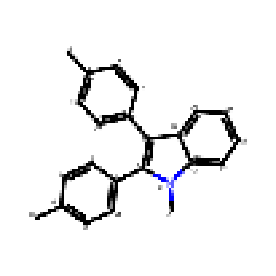 Cc1ccc(-c2c(-c3ccc(C)cc3)n(C)c3ccccc23)cc1